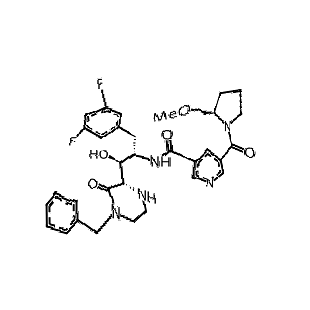 COC[C@H]1CCCN1C(=O)c1cncc(C(=O)N[C@@H](Cc2cc(F)cc(F)c2)[C@H](O)[C@@H]2NCCN(Cc3ccccc3)C2=O)c1